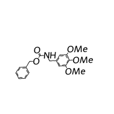 COc1cc(CNC(=O)OCc2ccccc2)cc(OC)c1OC